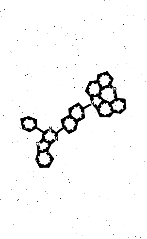 c1ccc(-c2nc(-c3ccc4cc(-n5c6ccc7cccc8oc9cccc%10ccc5c(c%109)c6c78)ccc4c3)nc3c2oc2ccccc23)cc1